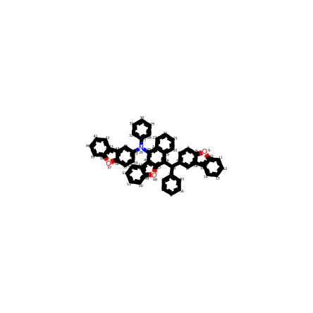 c1ccc(C(c2ccc3oc4ccccc4c3c2)c2c3ccccc3c(N(c3ccccc3)c3ccc4oc5ccccc5c4c3)c3c2oc2ccccc23)cc1